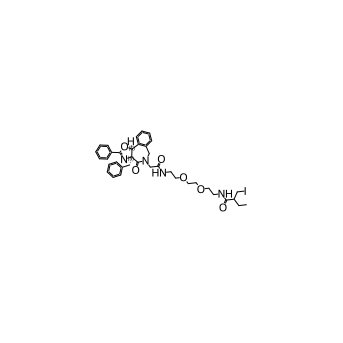 CCC(CI)C(=O)NCCOCCOCCNC(=O)CN1Cc2ccccc2[C@@H]2OC(c3ccccc3)=N[C@]2(Cc2ccccc2)C1=O